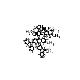 Cc1cc2c3c(c1)N(c1cc4c(cc1C)C(C)(C)CC4(C)C)c1cc4c(cc1B3c1ccc(N(c3ccccc3)c3ccccc3)cc1N2c1ccc2c(c1)C(C)(C)c1ccccc1-2)C(C)(C)CCC4(C)C